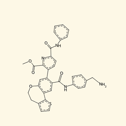 COC(=O)c1nc(C(=O)Nc2ccccc2)ccc1-c1cc2c(cc1C(=O)Nc1ccc(CN)cc1)-c1sccc1CCO2